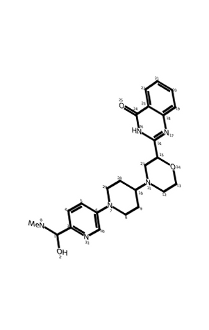 CNC(O)c1ccc(N2CCC(N3CCOC(c4nc5ccccc5c(=O)[nH]4)C3)CC2)cn1